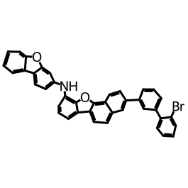 Brc1ccccc1-c1cccc(-c2ccc3c(ccc4c5cccc(Nc6ccc7c(c6)oc6ccccc67)c5oc34)c2)c1